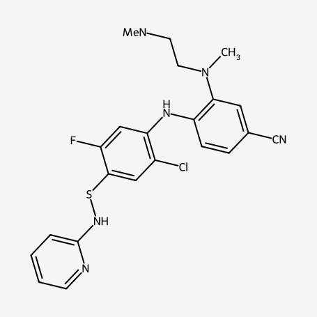 CNCCN(C)c1cc(C#N)ccc1Nc1cc(F)c(SNc2ccccn2)cc1Cl